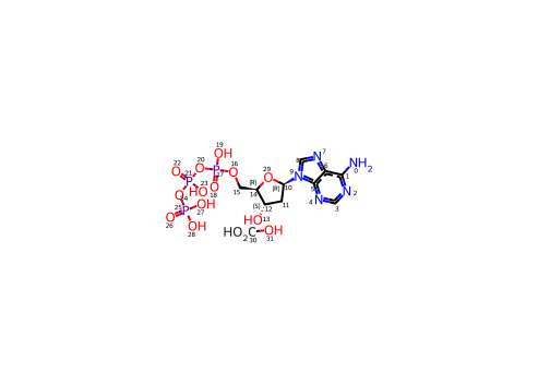 Nc1ncnc2c1ncn2[C@H]1C[C@H](O)[C@@H](COP(=O)(O)OP(=O)(O)OP(=O)(O)O)O1.O=C(O)O